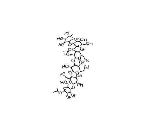 CC(=O)NC1C(O[C@@H]2OC(CO)[C@H](O)C(O)C2O[C@@H]2OC(C)[C@@H](O)C(O)C2O)[C@@H](O)C(CO)O[C@H]1OC1C(O)[C@@H](O[C@@H]2C(O)CC(O)[C@H](O[C@@H]3C(CO)O[C@@H](OC(C)C)C(O)C3O)OC2CO)OC(CO)[C@@H]1O